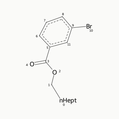 CCCCCCCCOC(=O)c1cccc(Br)c1